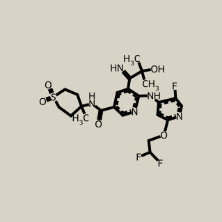 CC1(NC(=O)c2cnc(Nc3cc(OCC(F)F)ncc3F)c(C(=N)C(C)(C)O)c2)CCS(=O)(=O)CC1